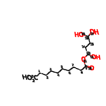 O=C(O)CCCCCCCCC(=O)OC(O)CCC(O)O